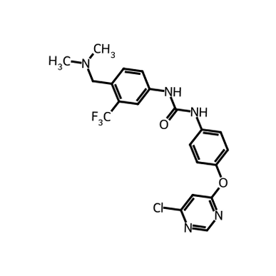 CN(C)Cc1ccc(NC(=O)Nc2ccc(Oc3cc(Cl)ncn3)cc2)cc1C(F)(F)F